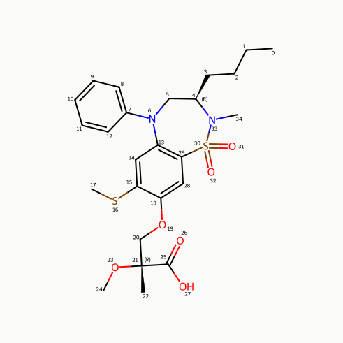 CCCC[C@@H]1CN(c2ccccc2)c2cc(SC)c(OC[C@@](C)(OC)C(=O)O)cc2S(=O)(=O)N1C